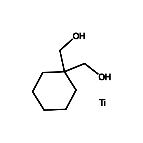 OCC1(CO)CCCCC1.[Ti]